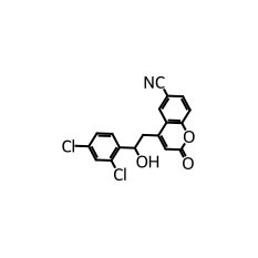 N#Cc1ccc2oc(=O)cc(CC(O)c3ccc(Cl)cc3Cl)c2c1